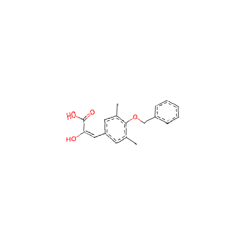 Cc1cc(/C=C(/O)C(=O)O)cc(C)c1OCc1ccccc1